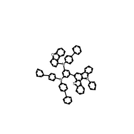 c1ccc(-c2ccc(N(c3ccc(-c4ccccc4)cc3)c3cc(-c4cc5c6ccccc6n(-c6ccccc6)c5c5c4sc4ccccc45)cc(N(c4ccc(-c5ccccc5)cc4)c4cccc5oc6ccccc6c45)c3)cc2)cc1